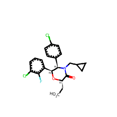 O=C(O)C[C@@H]1O[C@@H](c2cccc(Cl)c2F)[C@@H](c2ccc(Cl)cc2)N(CC2CC2)C1=O